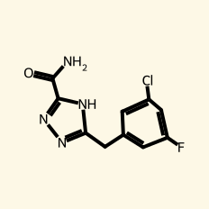 NC(=O)c1nnc(Cc2cc(F)cc(Cl)c2)[nH]1